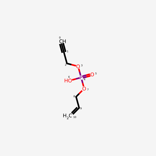 C#CCOP(=O)(O)OCC=C